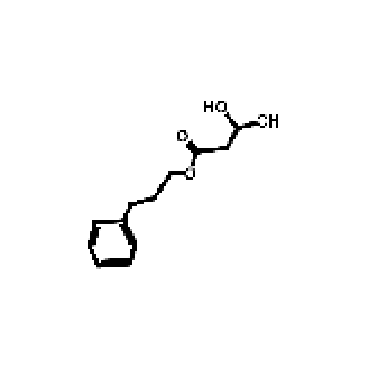 O=C(CC(O)O)OCCCc1ccccc1